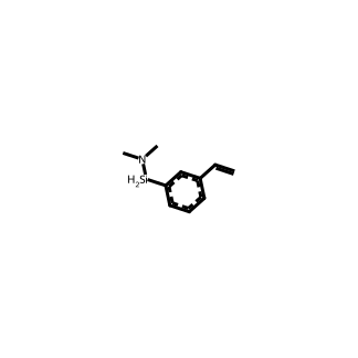 C=Cc1cccc([SiH2]N(C)C)c1